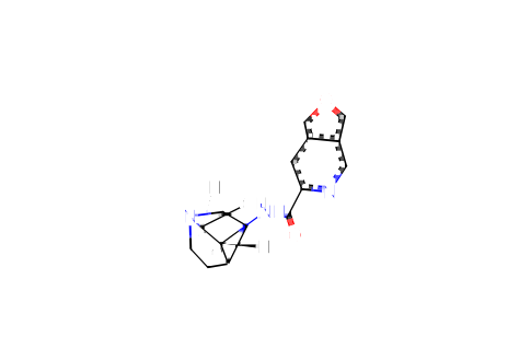 C[C@H]1[C@H](NC(=O)c2cc3cocc3cn2)C2CCN1CC2